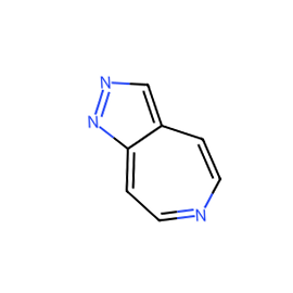 c1cc2cnnc-2ccn1